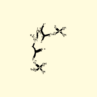 C.C.CF.FCC(F)F.FCC(F)F.O=P(O)(O)O.O=P(O)(O)O